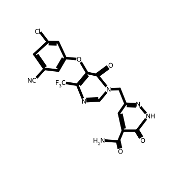 N#Cc1cc(Cl)cc(Oc2c(C(F)(F)F)ncn(Cc3cc(C(N)=O)c(=O)[nH]n3)c2=O)c1